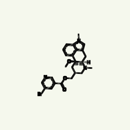 CO[C@]12CC(COC(=O)c3cncc(Br)c3)CN(C)[C@@H]1Cc1cn(C)c3cccc2c13